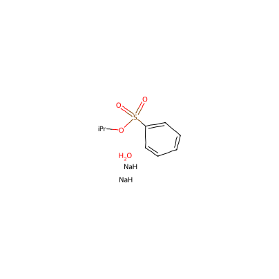 CC(C)OS(=O)(=O)c1ccccc1.O.[NaH].[NaH]